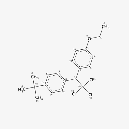 CCOc1ccc(C(c2ccc(C(C)(C)C)cc2)C(Cl)(Cl)Cl)cc1